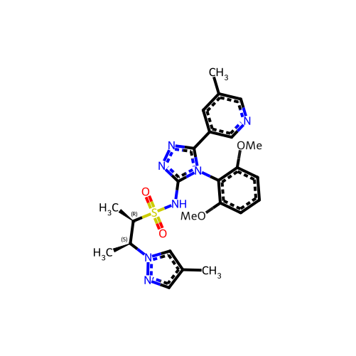 COc1cccc(OC)c1-n1c(NS(=O)(=O)[C@H](C)[C@H](C)n2cc(C)cn2)nnc1-c1cncc(C)c1